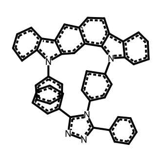 c1ccc(-c2nnc(-c3ccccc3)n2-c2ccc(-n3c4ccccc4c4ccc5cc6c7ccccc7n(-c7ccccc7)c6cc5c43)cc2)cc1